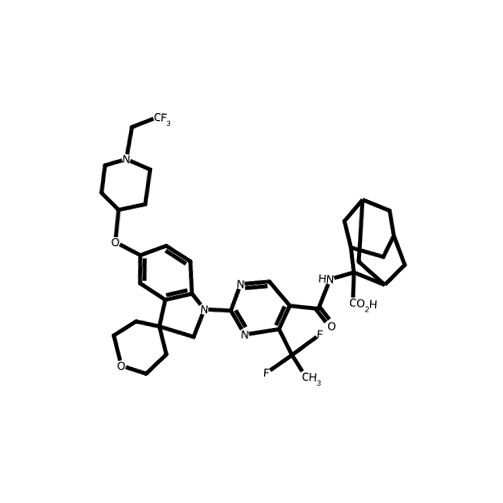 CC(F)(F)c1nc(N2CC3(CCOCC3)c3cc(OC4CCN(CC(F)(F)F)CC4)ccc32)ncc1C(=O)NC1(C(=O)O)C2CC3CC(C2)CC1C3